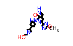 COc1cncc(-c2cc3cc[nH]c(=O)c3c(Nc3ccc(C4CN(CCO)C4)cc3)n2)n1